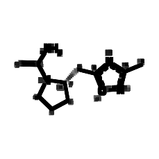 C=C(N)N1CCC[C@H]1Cc1nc(C)no1